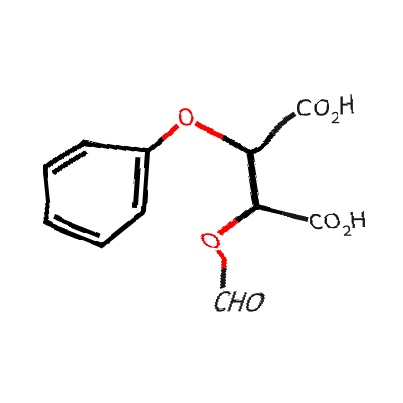 O=COC(C(=O)O)C(Oc1ccccc1)C(=O)O